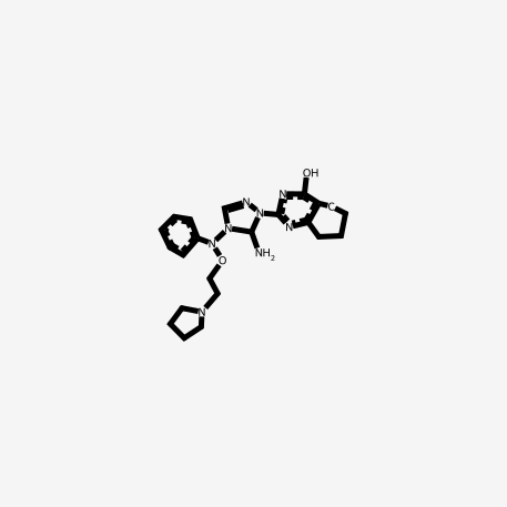 NC1N(c2nc(O)c3c(n2)CCCC3)N=CN1N(OCCN1CCCC1)c1ccccc1